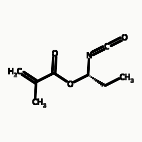 C=C(C)C(=O)O[C@@H](CC)N=C=O